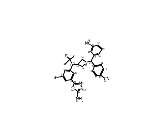 CC(C)(F)[C@H](c1cc(F)cc(-c2nnc(N)o2)c1)C1CN(C(c2ccc(C#N)cc2)c2cccc(C#N)c2)C1